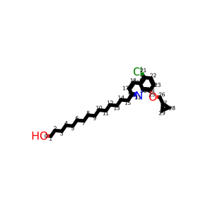 OCCCCCCCCCCCCCCCc1ccc2c(Cl)ccc(OCC3CC3)c2n1